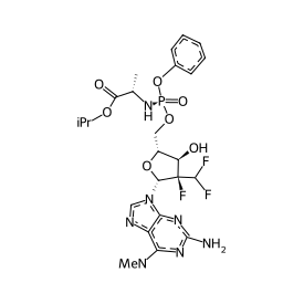 CNc1nc(N)nc2c1ncn2[C@@H]1O[C@H](CO[P@](=O)(N[C@@H](C)C(=O)OC(C)C)Oc2ccccc2)[C@@H](O)[C@]1(F)C(F)F